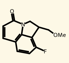 COCC1Cn2c(=O)ccc3ccc(F)c1c32